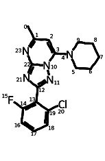 Cc1cc(N2CCCCC2)n2nc(-c3c(F)cccc3Cl)nc2n1